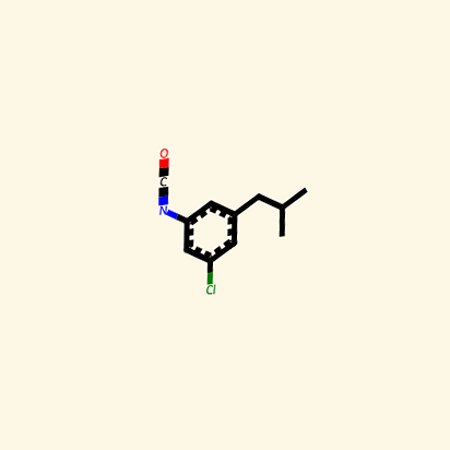 CC(C)Cc1cc(Cl)cc(N=C=O)c1